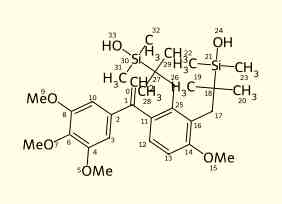 C=C(c1cc(OC)c(OC)c(OC)c1)c1ccc(OC)c(CC(C)(C)[Si](C)(C)O)c1CC(C)(C)[Si](C)(C)O